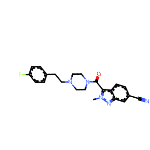 Cn1nc2cc(C#N)ccc2c1C(=O)N1CCN(CCc2ccc(F)cc2)CC1